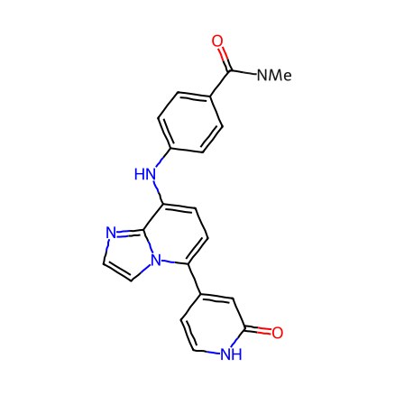 CNC(=O)c1ccc(Nc2ccc(-c3cc[nH]c(=O)c3)n3ccnc23)cc1